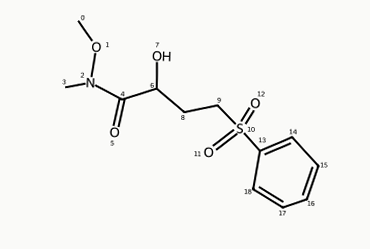 CON(C)C(=O)C(O)CCS(=O)(=O)c1ccccc1